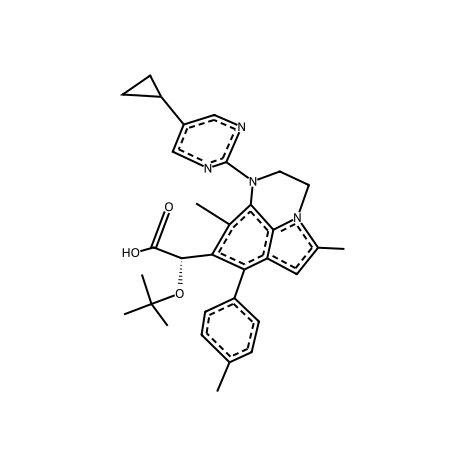 Cc1ccc(-c2c([C@H](OC(C)(C)C)C(=O)O)c(C)c3c4c2cc(C)n4CCN3c2ncc(C3CC3)cn2)cc1